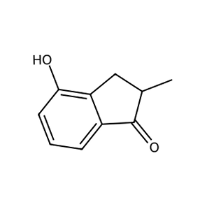 CC1Cc2c(O)cccc2C1=O